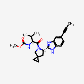 CC#Cc1ccc2[nH]c([C@@H]3CC4(CC4)CN3C(=O)[C@@H](NC(=O)OC)C(C)C)nc2c1